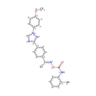 CC/C(=N\OC(=O)Nc1ccccc1C(C)C)c1ccc(-c2ncn(-c3ccc(OC(F)(F)F)cc3)n2)cc1